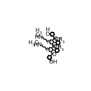 CCNCCCCN1CC(C(=O)c2cccc(O)c2)C(c2cccc(F)c2C)C(C(=O)C2CN(CCCCNCC)CC(C(=O)c3cccc(O)c3)C2c2cccc(F)c2C)C1